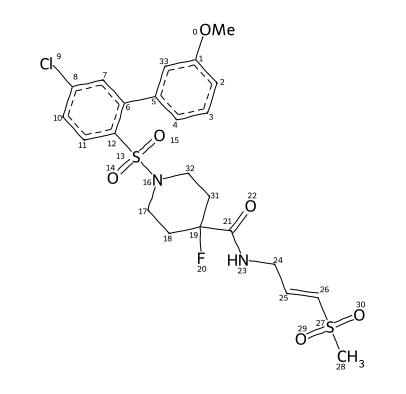 COc1cccc(-c2cc(Cl)ccc2S(=O)(=O)N2CCC(F)(C(=O)NC/C=C/S(C)(=O)=O)CC2)c1